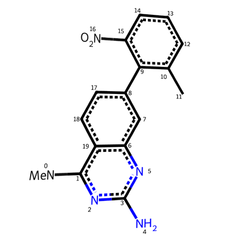 CNc1nc(N)nc2cc(-c3c(C)cccc3[N+](=O)[O-])ccc12